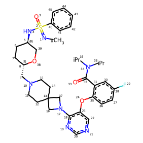 CN=S(=O)(N[C@@H]1CC[C@@H](CN2CCC3(CC2)CN(c2ncncc2Oc2ccc(F)cc2C(=O)N(C(C)C)C(C)C)C3)OC1)c1ccccc1